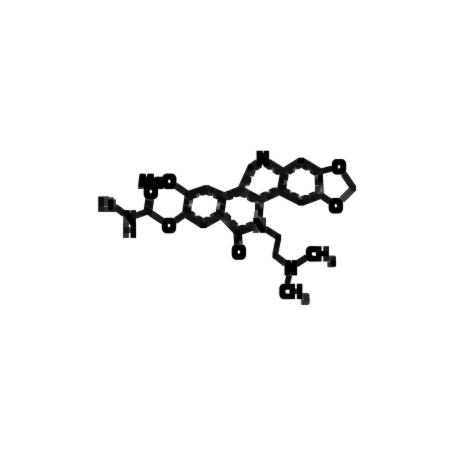 CCNC(=O)Oc1cc2c(=O)n(CCN(C)C)c3c4cc5c(cc4ncc3c2cc1OC)OCO5